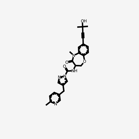 Cc1ccc(Cc2cnn(C(=O)NC3COc4ccc(C#CC(C)(C)O)cc4N(C)C3=O)c2)cn1